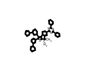 CC1(C)c2cc(-c3nc(-c4ccccc4)nc(-c4ccccc4)n3)ccc2-c2c1sc(-c1cccc(-c3ccccc3)c1)c2-c1cccc(-c2ccccc2)c1